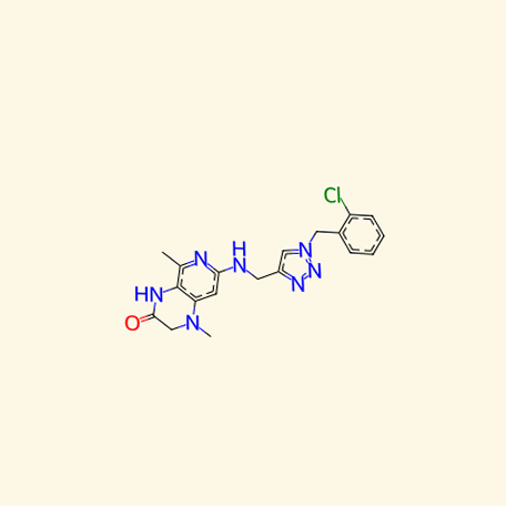 Cc1nc(NCc2cn(Cc3ccccc3Cl)nn2)cc2c1NC(=O)CN2C